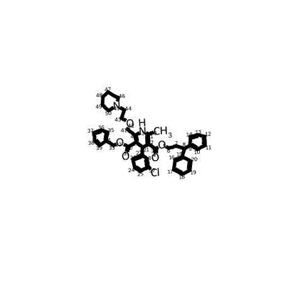 CC1=C(C(=O)OCCC(c2ccccc2)c2ccccc2)C(c2cccc(Cl)c2)C(C(=O)OCc2ccccc2)=C(COCCN2CCCCC2)N1